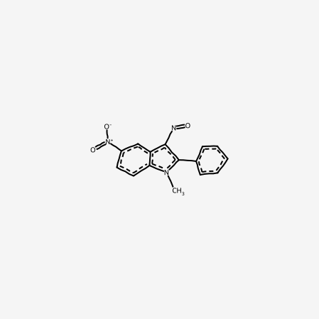 Cn1c(-c2ccccc2)c(N=O)c2cc([N+](=O)[O-])ccc21